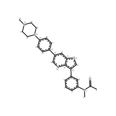 CC(=O)N(C)c1cccc(-c2coc3cc(-c4ccc(N5CCN(C)CC5)cc4)cnc23)c1